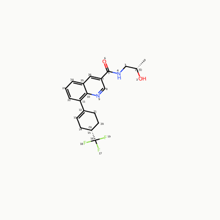 C[C@H](O)CNC(=O)c1cnc2c(C3=CC[C@@H](C(F)(F)F)CC3)cccc2c1